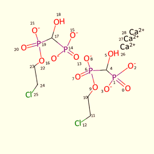 O=P([O-])([O-])C(O)P(=O)([O-])OCCCl.O=P([O-])([O-])C(O)P(=O)([O-])OCCCl.[Ca+2].[Ca+2].[Ca+2]